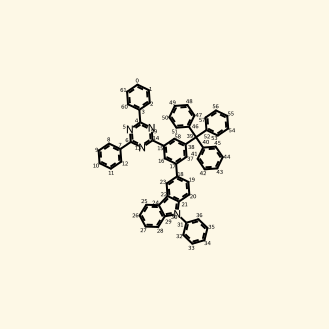 c1ccc(-c2nc(-c3ccccc3)nc(-c3cc(-c4ccc5c(c4)c4ccccc4n5-c4ccccc4)cc(C(c4ccccc4)(c4ccccc4)c4ccccc4)c3)n2)cc1